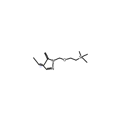 C=c1/c(=C\C)cnn1COCC[Si](C)(C)C